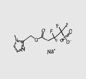 Cn1ccnc1COC(=O)CC(F)(F)C(F)(F)S(=O)(=O)[O-].[Na+]